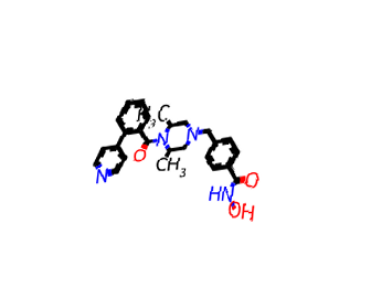 CC1CN(Cc2ccc(C(=O)NO)cc2)CC(C)N1C(=O)c1ccccc1-c1ccncc1